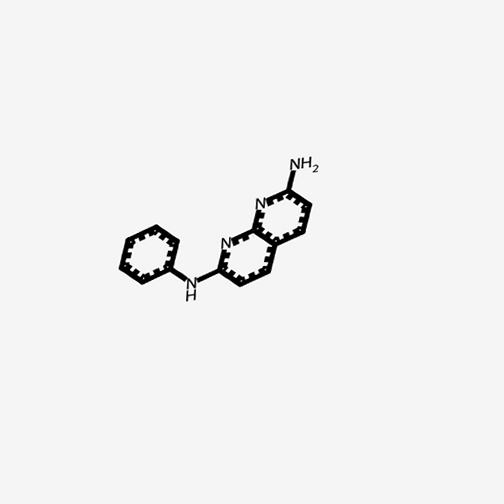 Nc1ccc2ccc(Nc3ccccc3)nc2n1